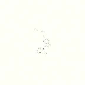 COc1nccc2oc(-c3cnc4ccc(OCCCSC)nn34)cc12